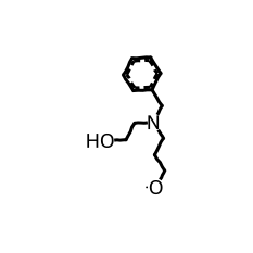 [O]CCCN(CCO)Cc1ccccc1